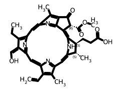 C=CC1=C(C)C2=NC1=CC1=NC(=C(CC)C1=CO)C=C1N=C3C(=C1C)C(=O)[C@H](C(=O)OC)C3=C1NC(=C2)[C@@H](C)[C@@H]1CCC(=O)O